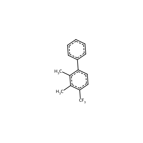 Cc1c(-c2ccccc2)ccc(C(F)(F)F)c1C